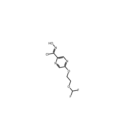 ON=C(Cl)c1cnc(OCCOC(F)F)cn1